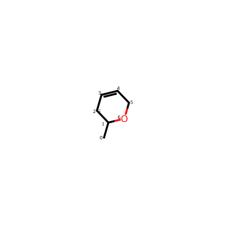 CC1[C]C=CCO1